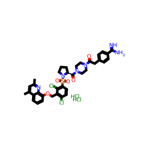 Cc1cc(C)c2cccc(OCc3c(Cl)ccc(S(=O)(=O)N4CCC[C@H]4C(=O)N4CCN(C(=O)Cc5ccc(C(=N)N)cc5)CC4)c3Cl)c2n1.Cl.Cl